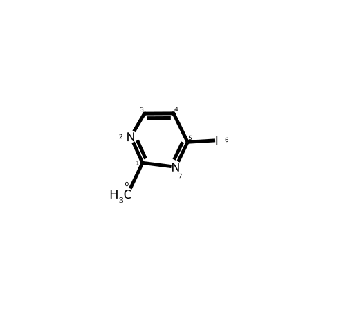 Cc1nccc(I)n1